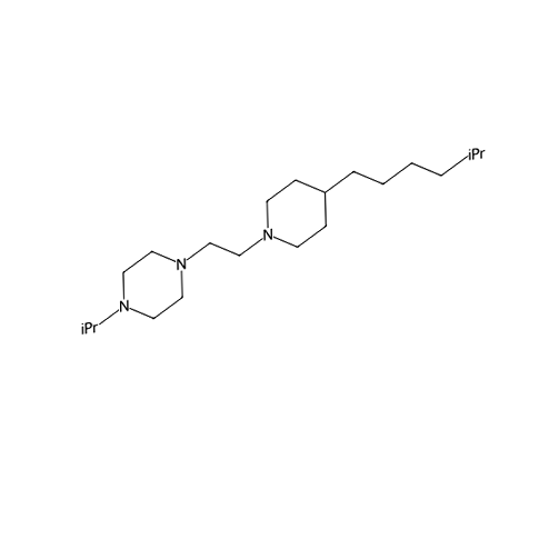 CC(C)CCCCC1CCN(CCN2CCN(C(C)C)CC2)CC1